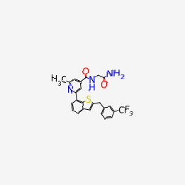 Cc1cc(C(=O)NCC(N)=O)cc(-c2cccc3cc(Cc4cccc(C(F)(F)F)c4)sc23)n1